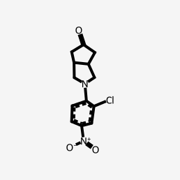 O=C1CC2CN(c3ccc([N+](=O)[O-])cc3Cl)CC2C1